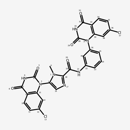 Cn1c(-n2c(=O)[nH]c(=O)c3ccc(Cl)cc32)cnc1C(=O)Nc1cccc(-n2c(=O)[nH]c(=O)c3ccc(Cl)cc32)c1